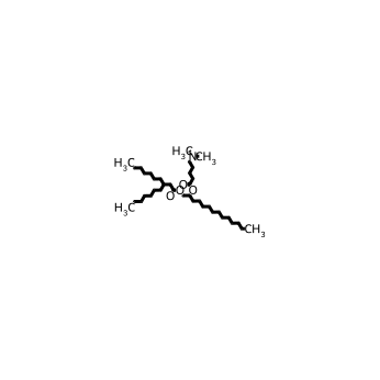 CCCCCCCCCCCCC(COC(=O)CC(CCCCCCC)CCCCCCC)OC(=O)CCCCN(C)C